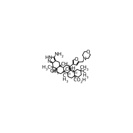 CC1(C)CC[C@]2(C(=O)O)CC[C@]3(C)C(=C(c4coc(CN5CCOCC5)c4)CC4[C@@]5(C)Cc6c(n[nH]c6N)C(C)(C)[C@@H]5CC[C@]43C)[C@@H]2C1